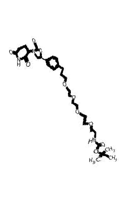 CC(C)(C)OC(=O)NCCOCCOCCOCCOCCCc1ccc([C@H]2CN(C3CCC(=O)NC3=O)C(=O)O2)cc1